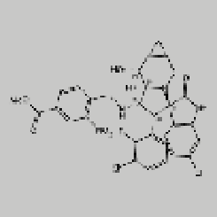 COC(=O)c1ccc(CN[C@@H]2[C@H]3[C@H](O)C4CC4CN3[C@]3(C(=O)Nc4cc(Cl)ccc43)[C@@H]2c2cccc(Cl)c2F)c([N+](=O)[O-])c1